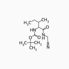 CCC(C)C(NC(=O)OC(C)(C)C)C(=O)NCC#N